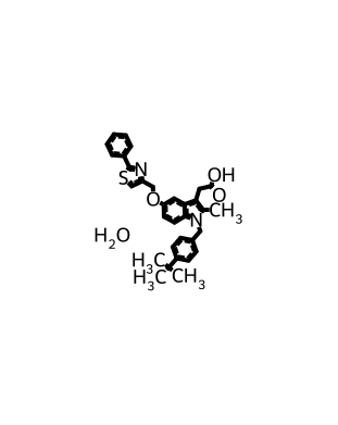 Cc1c(CC(=O)O)c2cc(OCc3csc(-c4ccccc4)n3)ccc2n1Cc1ccc(C(C)(C)C)cc1.O